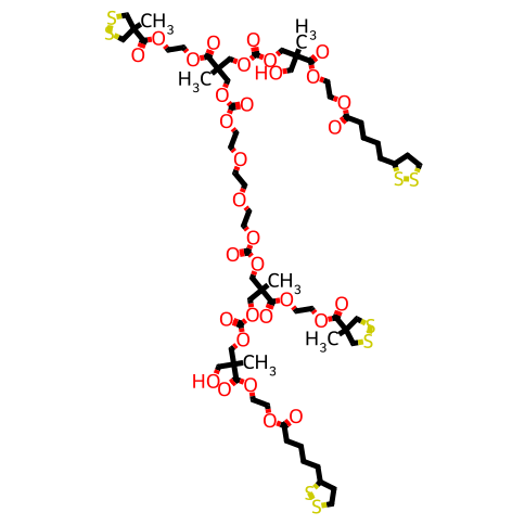 CC(CO)(COC(=O)OCC(C)(COC(=O)OCCOCCOCCOC(=O)OCC(C)(COC(=O)OCC(C)(CO)C(=O)OCCOC(=O)CCCCC1CCSS1)C(=O)OCCOC(=O)C1(C)CSSC1)C(=O)OCCOC(=O)C1(C)CSSC1)C(=O)OCCOC(=O)CCCCC1CCSS1